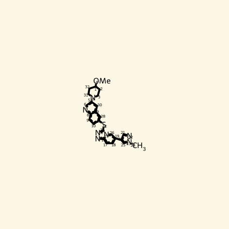 COC1CCN(c2cnc3ccc(Sc4nnc5ccc(-c6cnn(C)c6)cn45)cc3c2)CC1